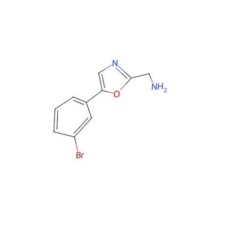 NCc1ncc(-c2cccc(Br)c2)o1